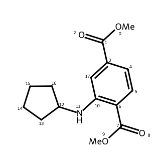 COC(=O)c1ccc(C(=O)OC)c(NC2CCCC2)c1